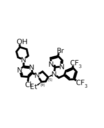 CC[C@@H]1C[C@H](N(Cc2cc(C(F)(F)F)cc(C(F)(F)F)c2)c2ncc(Br)cn2)CN1c1nc(N2CCC(O)CC2)ncc1Cl